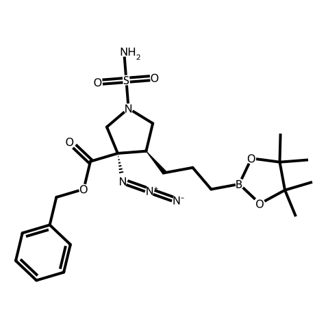 CC1(C)OB(CCC[C@@H]2CN(S(N)(=O)=O)C[C@]2(N=[N+]=[N-])C(=O)OCc2ccccc2)OC1(C)C